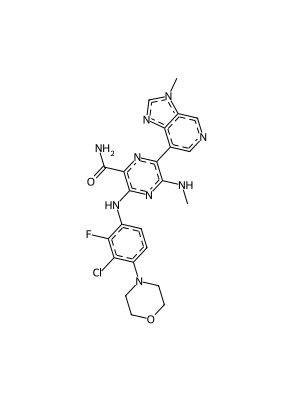 CNc1nc(Nc2ccc(N3CCOCC3)c(Cl)c2F)c(C(N)=O)nc1-c1cncc2c1ncn2C